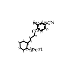 CCCCCC1CCCCC1CCCOc1ccc(C#N)cc1F